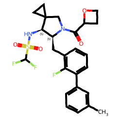 Cc1cccc(-c2cccc(C[C@H]3[C@@H](NS(=O)(=O)C(F)F)C4(CC4)CN3C(=O)C3CCO3)c2F)c1